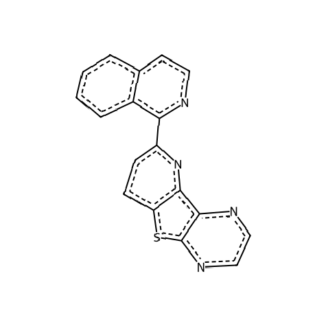 c1ccc2c(-c3ccc4sc5nccnc5c4n3)nccc2c1